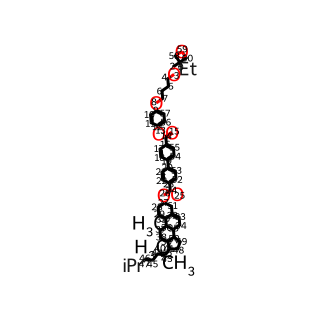 CCC1(COCCCCOc2ccc(OC(=O)c3ccc(-c4ccc(C(=O)OC5CCC6(C)C(=CCC7C6CCC6(C)C(C(C)CCCC(C)C)CCC76)C5)cc4)cc3)cc2)COC1